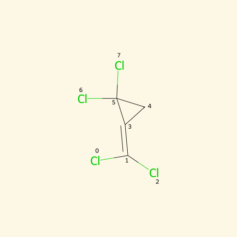 ClC(Cl)=C1CC1(Cl)Cl